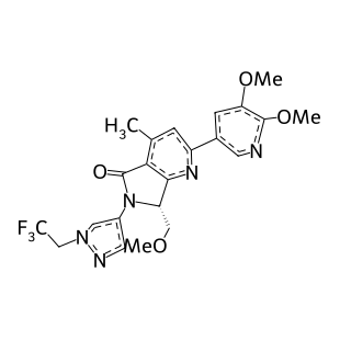 COC[C@H]1c2nc(-c3cnc(OC)c(OC)c3)cc(C)c2C(=O)N1c1cnn(CC(F)(F)F)c1